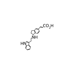 O=C(O)C=Cc1ccc2c(c1)CCC2NCCc1c[nH]c2ccccc12